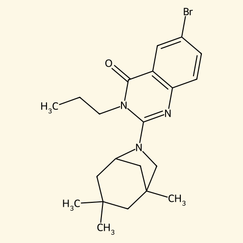 CCCn1c(N2CC3(C)CC2CC(C)(C)C3)nc2ccc(Br)cc2c1=O